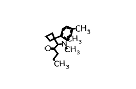 CCCC(=O)C(N(C)C)C1(c2ccc(C)cc2)CCC1